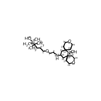 CC(C)(CCCOCCNC1CC2(CCOCC2)N(O)C2(CCOCC2)C1)[Si](C)(C)O